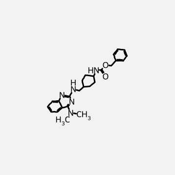 CN(C)c1nc(NCC2CCC(NC(=O)OCc3ccccc3)CC2)nc2ccccc12